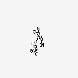 CCCC(C)N(C=O)C(=O)c1ccc(NCCCCN(c2ccc(C#N)c(Cl)c2)c2cc(-c3c(C)noc3C)ccc2C)cc1C